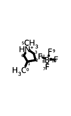 CC1CC[NH+](C)C1.F[B-](F)(F)F